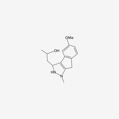 COc1ccc2c(c1)C1=C(C2)N(C)NC1CC(C)O